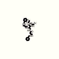 CC(=O)CC(=O)NCC(NC(=O)CC(C)=O)C(CNC(=O)C=C(C)NCc1ccccc1)NC(=O)C=C(C)NCc1ccccc1